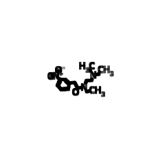 CCN(CC)CCN(CC)C(=O)Cc1cccc([N+](=O)[O-])c1